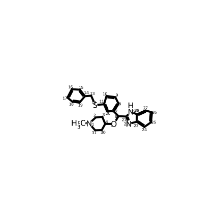 CN1CCC(OC(c2cccc(SCc3ccccc3)c2)c2nc3ccccc3[nH]2)CC1